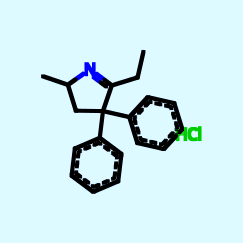 CCC1=NC(C)CC1(c1ccccc1)c1ccccc1.Cl